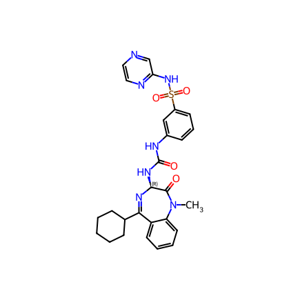 CN1C(=O)[C@H](NC(=O)Nc2cccc(S(=O)(=O)Nc3cnccn3)c2)N=C(C2CCCCC2)c2ccccc21